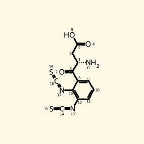 N[C@@H](CC(=O)O)C(=O)c1cccc(N=C=S)c1N=C=S